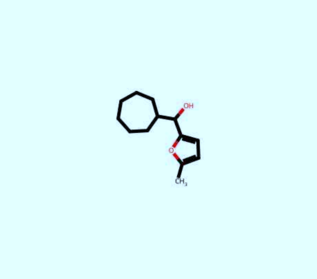 Cc1ccc(C(O)C2CCCCCC2)o1